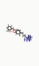 c1ccc(COc2ccc(CCCCc3ncc[nH]3)cc2)cc1